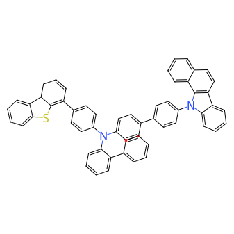 C1=CC(c2ccc(N(c3ccc(-c4ccc(-n5c6ccccc6c6ccc7ccccc7c65)cc4)cc3)c3ccccc3-c3ccccc3)cc2)=C2Sc3ccccc3C2C1